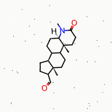 CN1C(=O)CC[C@]2(C)C3CC[C@]4(C)C([C]=O)CCC4C3CC[C@@H]12